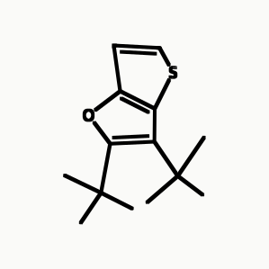 CC(C)(C)c1oc2ccsc2c1C(C)(C)C